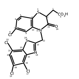 O=C(O)CC1Sc2ccc(Cl)cc2N(Cc2nc3c(Cl)c(Cl)cc(Cl)c3s2)C1=O